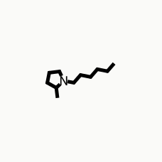 CCCCCCN1CCCC1C